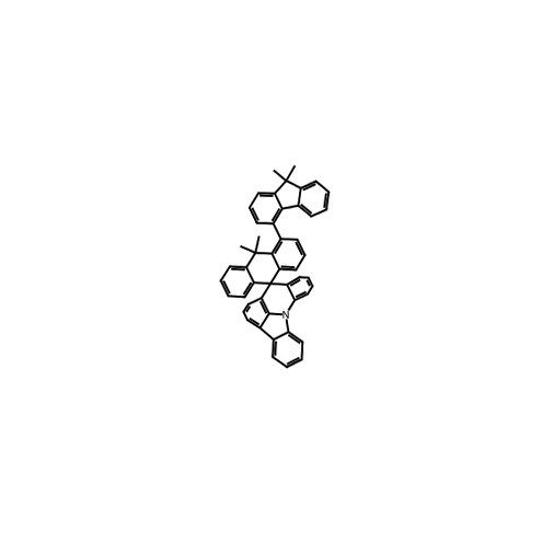 CC1(C)c2ccccc2-c2c(-c3cccc4c3C(C)(C)c3ccccc3C43c4ccccc4-n4c5ccccc5c5cccc3c54)cccc21